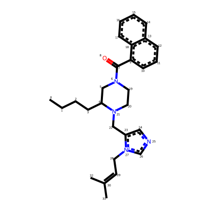 CCCCC1CN(C(=O)c2cccc3ccccc23)CCN1Cc1cncn1CC=C(C)C